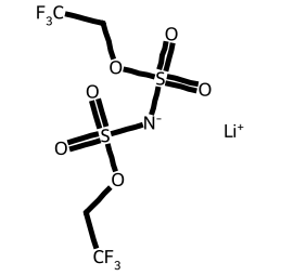 O=S(=O)([N-]S(=O)(=O)OCC(F)(F)F)OCC(F)(F)F.[Li+]